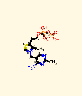 Cc1ncc(C[n+]2csc(CCO[P@@](=O)(O)O[P@@](=O)([O-])O)c2C)c(N)n1